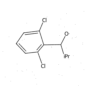 CC(C)C([O])c1c(Cl)cccc1Cl